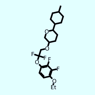 CCOc1ccc(OC(F)(F)COC2CCC(C3CCC(C)CC3)OC2)c(F)c1F